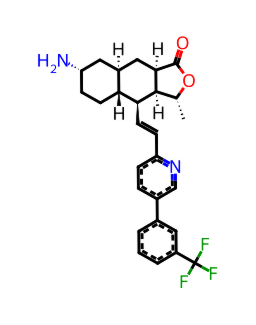 C[C@H]1OC(=O)[C@@H]2C[C@@H]3C[C@@H](N)CC[C@H]3[C@H](/C=C/c3ccc(-c4cccc(C(F)(F)F)c4)cn3)[C@H]12